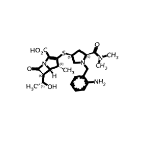 C[C@@H](O)[C@H]1C(=O)N2C(C(=O)O)=C(S[C@H]3C[C@@H](C(=O)N(C)C)N(Cc4ccccc4N)C3)[C@H](C)[C@H]12